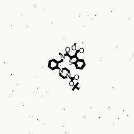 COC(=O)c1c(C(=O)N(C)Cc2ccccc2N2CCN(C(=O)OC(C)(C)C)CC2)sc2ccccc12